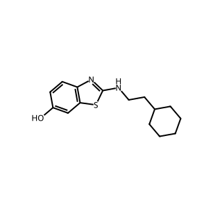 Oc1ccc2nc(NCCC3CCCCC3)sc2c1